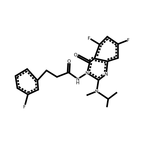 CC(C)N(C)c1nc2cc(F)cc(F)c2c(=O)n1NC(=O)CCc1cccc(F)c1